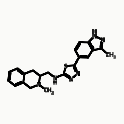 Cc1n[nH]c2ccc(-c3nnc(NCC4Cc5ccccc5CN4C)s3)cc12